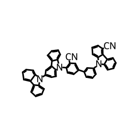 N#Cc1cc(-c2cccc(-n3c4ccccc4c4c(C#N)cccc43)c2)ccc1-n1c2ccccc2c2cc(-n3c4ccccc4c4ccccc43)ccc21